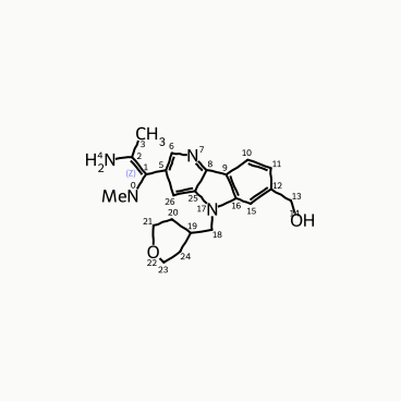 CN/C(=C(/C)N)c1cnc2c3ccc(CO)cc3n(CC3CCOCC3)c2c1